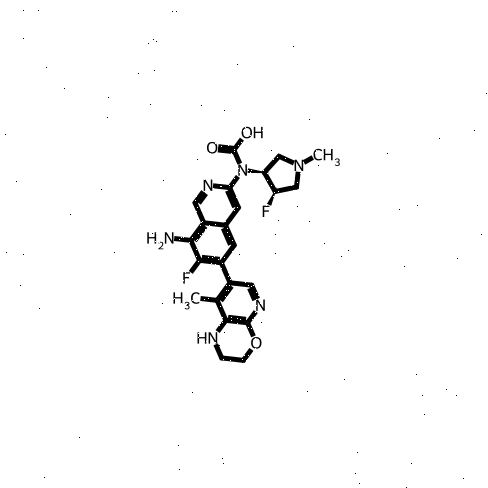 Cc1c(-c2cc3cc(N(C(=O)O)[C@H]4CN(C)C[C@H]4F)ncc3c(N)c2F)cnc2c1NCCO2